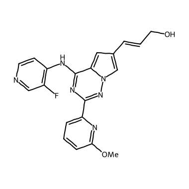 COc1cccc(-c2nc(Nc3ccncc3F)c3cc(/C=C/CO)cn3n2)n1